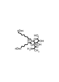 CCCCCCCCCCCCCCCCCCN(C(=O)NCCCCCCCCCCCCCC)[C@@H]1O[C@H](CO)[C@@H](O)[C@H](O)[C@H]1NC(=O)[C@H](C)N